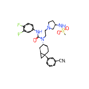 CS(=O)(=O)NC1CCN(CCN(C(=O)Nc2ccc(F)c(F)c2)[C@@H]2CC[C@]3(c4cccc(C#N)c4)CC3C2)C1